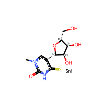 Cn1cc([C@@H]2O[C@H](CO)[C@@H](O)[C@H]2O)c(=S)[nH]c1=O.[Sn]